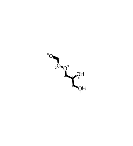 O=COOCC(O)CO